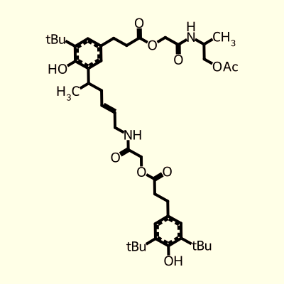 CC(=O)OCC(C)NC(=O)COC(=O)CCc1cc(C(C)C/C=C/CNC(=O)COC(=O)CCc2cc(C(C)(C)C)c(O)c(C(C)(C)C)c2)c(O)c(C(C)(C)C)c1